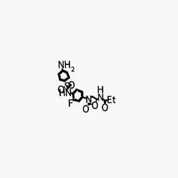 CCC(=O)N[C@@H]1CN(c2ccc(NS(=O)(=O)c3ccc(N)cc3)c(F)c2)C(=O)O1